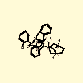 Cc1nc2ccccc2n1[C@H]1C[C@H]2CC[C@@H](C1)N2CC[C@]1(CN(C)S(=O)(=O)c2ccccc2Cl)CCc2ccccc21